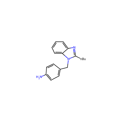 CCCCc1nc2ccccc2n1Cc1ccc(N)cc1